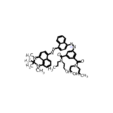 CCCN(CCO)C(=O)c1cc(/N=N\c2ccc(N=Nc3ccc4c5c(cccc35)N(C)C(C)(C)N4C)c3ccccc23)cc(C(=O)N(CCC)CCO)c1